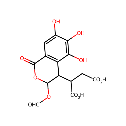 O=COC1OC(=O)c2cc(O)c(O)c(O)c2C1C(CC(=O)O)C(=O)O